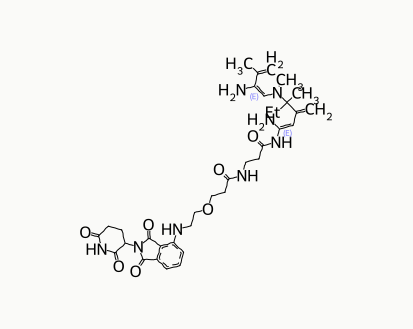 C=C(C)/C(N)=C\N(C)C(C)(CC)C(=C)/C=C(\N)NC(=O)CCNC(=O)CCOCCNc1cccc2c1C(=O)N(C1CCC(=O)NC1=O)C2=O